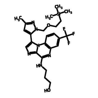 Cc1cc(-c2cnc3c(NCCCO)nc4cc(C(F)(F)F)ccc4n23)n(COCC[Si](C)(C)C)n1